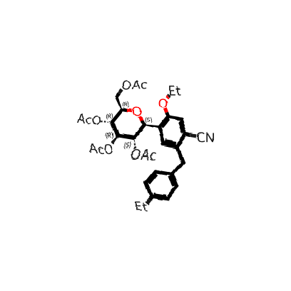 CCOc1cc(C#N)c(Cc2ccc(CC)cc2)cc1[C@@H]1O[C@H](COC(C)=O)[C@@H](OC(C)=O)[C@H](OC(C)=O)[C@H]1OC(C)=O